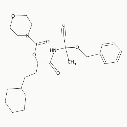 CC(C#N)(NC(=O)C(CCC1CCCCC1)OC(=O)N1CCOCC1)OCc1ccccc1